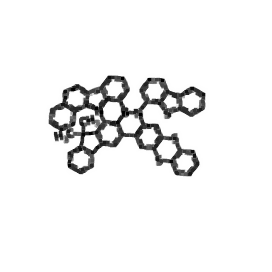 CC1(C)c2ccccc2-c2cc3c4c(c21)-n1c2c(cccc2c2ccc5ccccc5c21)B4N(c1cccc2c1sc1ccccc12)c1cc2c(cc1-3)Sc1ccccc1S2